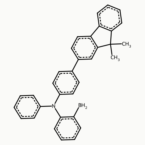 Bc1ccccc1N(c1ccccc1)c1ccc(-c2ccc3c(c2)C(C)(C)c2ccccc2-3)cc1